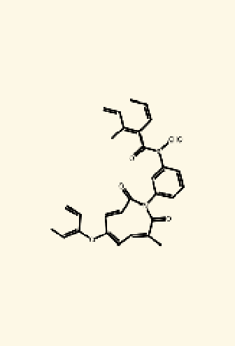 C=C/C(=C\C)OC1=C/C=C(\C)C(=O)N(c2cccc(B(C=O)C(=O)C(/C=C\C)=C(\C)C=C)c2)C(=O)\C=C\1